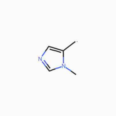 [CH2]c1cncn1C